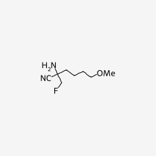 COCCCCC(N)(C#N)CF